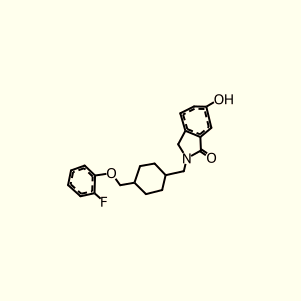 O=C1c2cc(O)ccc2CN1CC1CCC(COc2ccccc2F)CC1